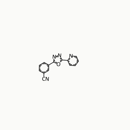 N#Cc1cccc(-c2nnc(-c3ccccn3)o2)c1